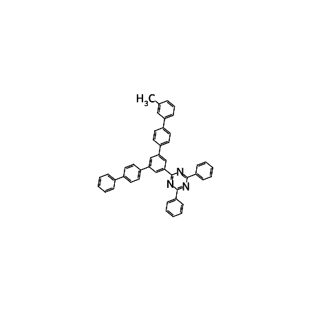 Cc1cccc(-c2ccc(-c3cc(-c4ccc(-c5ccccc5)cc4)cc(-c4nc(-c5ccccc5)nc(-c5ccccc5)n4)c3)cc2)c1